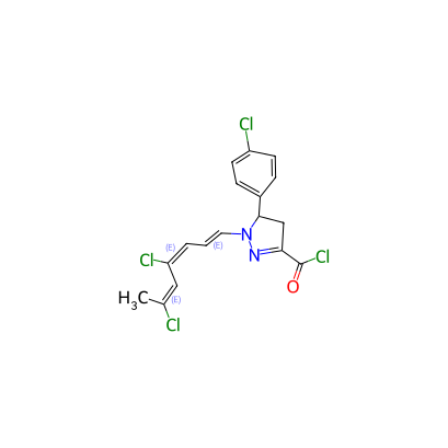 C\C(Cl)=C/C(Cl)=C\C=C\N1N=C(C(=O)Cl)CC1c1ccc(Cl)cc1